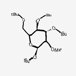 COC1[C@@H](OC(C)(C)C)OC(COC(C)(C)C)[C@@H](OC(C)(C)C)[C@@H]1OC(C)(C)C